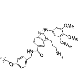 COc1cc(Nc2nc3ccc(C(=O)NCc4ccc(OC(F)(F)F)cc4)cc3n2CCCN)cc(OC)c1OC